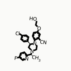 C[C@H](c1ccc(F)cn1)N1CCN(c2ccc(OCCO)cc2C#N)[C@H](c2ccc(Cl)cc2)C1